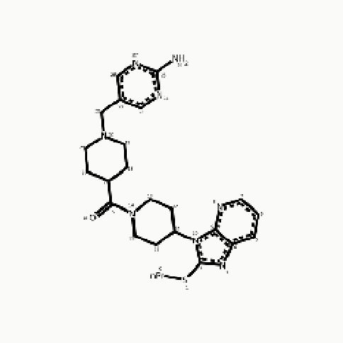 CCCSc1nc2cccnc2n1C1CCN(C(=O)C2CCN(Cc3cnc(N)nc3)CC2)CC1